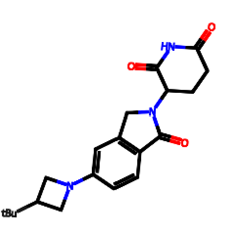 CC(C)(C)C1CN(c2ccc3c(c2)CN(C2CCC(=O)NC2=O)C3=O)C1